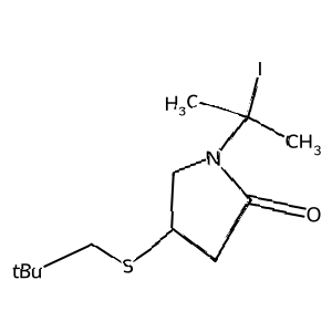 CC(C)(C)CSC1CC(=O)N(C(C)(C)I)C1